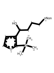 CCCCCCCCCCCCC(O)c1ccoc1[Si](C)(C)C